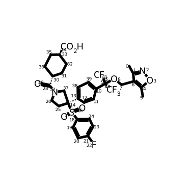 Cc1noc(C)c1COC(c1ccc([C@]2(S(=O)(=O)c3ccc(F)cc3)CCN(C(=O)[C@H]3CC[C@H](C(=O)O)CC3)C2)cc1)(C(F)(F)F)C(F)(F)F